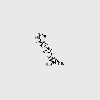 CCCCOc1nc(N)c2ncc(Cc3cnc(N4CCN(C(=O)C5CNCCN5)CC4)c(C)c3)n2n1